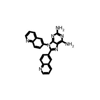 Nc1nc(N)c2nc(-c3ccc4ncccc4c3)n(-c3ccc4ncccc4c3)c2n1